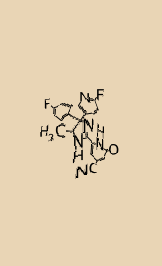 C[C@@H]1NC(c2cc(C#N)cc(=O)[nH]2)=N[C@@]1(c1ccc(F)cc1)c1ccc(F)nc1